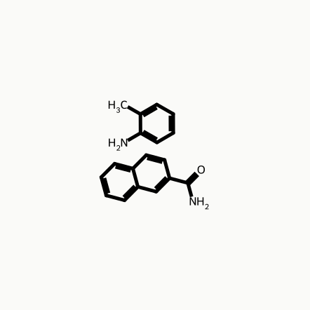 Cc1ccccc1N.NC(=O)c1ccc2ccccc2c1